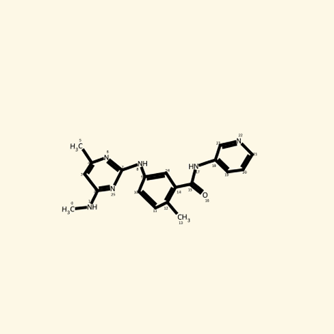 CNc1cc(C)nc(Nc2ccc(C)c(C(=O)Nc3cccnc3)c2)n1